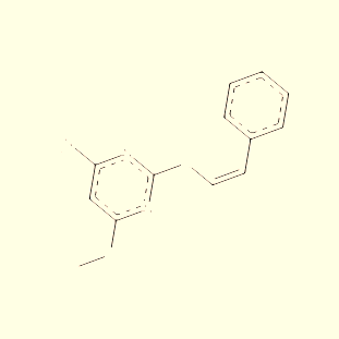 CSc1cc(N)nc(S/C=C\c2ccccc2)n1